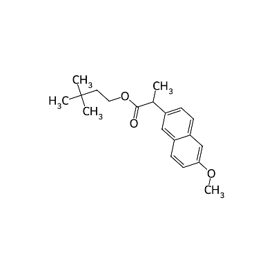 COc1ccc2cc(C(C)C(=O)OCCC(C)(C)C)ccc2c1